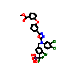 COC(=O)c1cccc(Oc2cccc(-c3nnc(N(Cc4ccc(C(F)(F)P(=O)(O)O)c(Br)c4)c4ccc(Cl)c(Cl)c4)o3)c2)c1